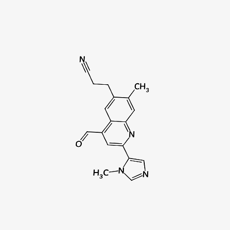 Cc1cc2nc(-c3cncn3C)cc(C=O)c2cc1CCC#N